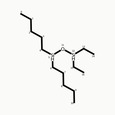 CCCCC[SiH](CCCCC)O[SiH](CC)CC